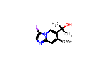 COc1cc2ncc(I)n2cc1C(C)(C)O